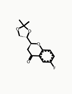 CC1(C)OC[C@@H]([C@@H]2CC(=O)c3cc(F)ccc3O2)O1